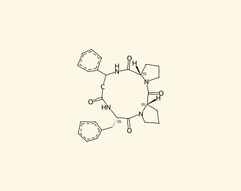 O=C1CC(c2ccccc2)NC(=O)[C@@H]2CCCN2C(=O)[C@@H]2CCCN2C(=O)[C@H](Cc2ccccc2)N1